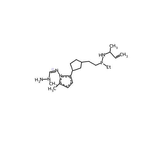 C=CC(C)NP(CC)CCC1CCC(c2ccc(C)n2/N=C\N(C)N)C1